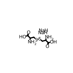 NC(CSSCC(N)C(=O)O)C(=O)O.[NaH].[NaH]